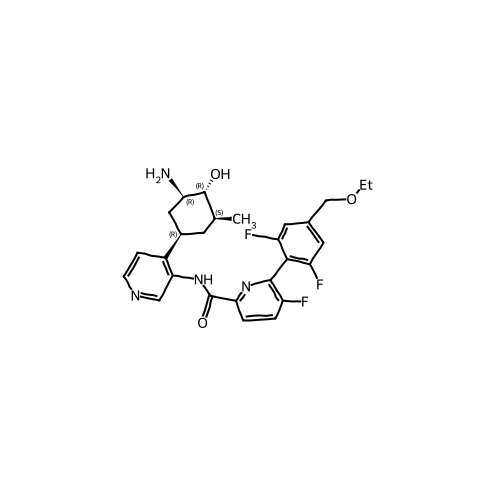 CCOCc1cc(F)c(-c2nc(C(=O)Nc3cnccc3[C@H]3C[C@@H](N)[C@H](O)[C@@H](C)C3)ccc2F)c(F)c1